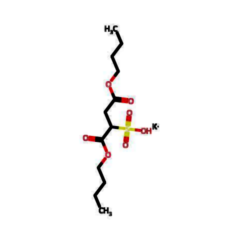 CCCCOC(=O)CC(C(=O)OCCCC)S(=O)(=O)O.[K]